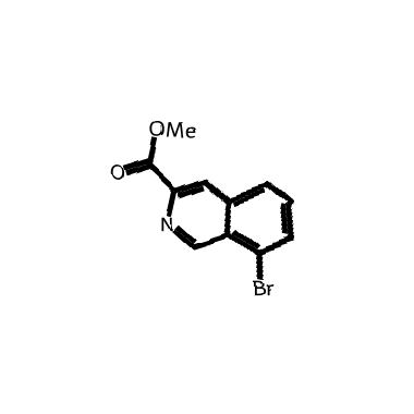 COC(=O)c1cc2cccc(Br)c2cn1